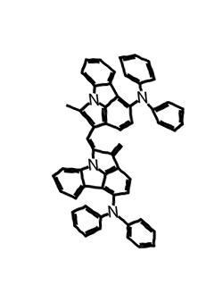 C=c1/c(=C\c2c(C)n3c4ccccc4c4c(N(c5ccccc5)c5ccccc5)ccc2c43)n2c3ccccc3c3c(N(c4ccccc4)c4ccccc4)ccc1c32